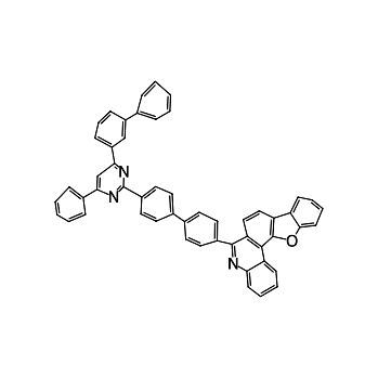 c1ccc(-c2cccc(-c3cc(-c4ccccc4)nc(-c4ccc(-c5ccc(-c6nc7ccccc7c7c6ccc6c8ccccc8oc67)cc5)cc4)n3)c2)cc1